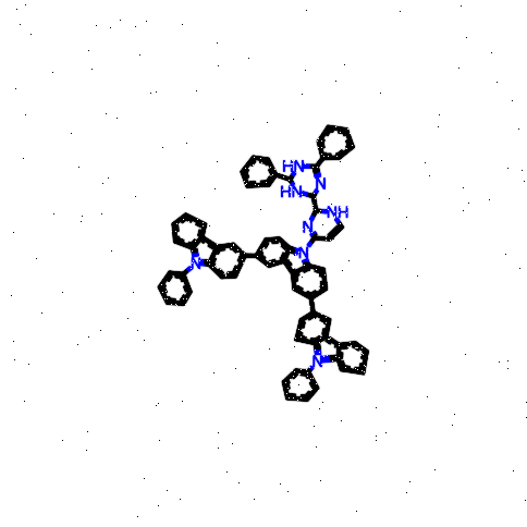 C1=CC(n2c3ccc(-c4ccc5c(c4)c4ccccc4n5-c4ccccc4)cc3c3cc(-c4ccc5c(c4)c4ccccc4n5-c4ccccc4)ccc32)=NC(C2N=C(c3ccccc3)NC(c3ccccc3)N2)N1